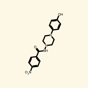 O=C(NN1CCN(c2ccc(O)cc2)CC1)c1ccc([N+](=O)[O-])cc1